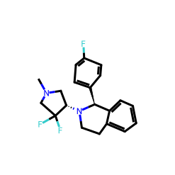 CN1C[C@H](N2CCc3ccccc3[C@@H]2c2ccc(F)cc2)C(F)(F)C1